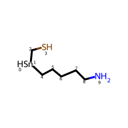 [CH3][SnH]([CH2]S)[CH2]CCCCN